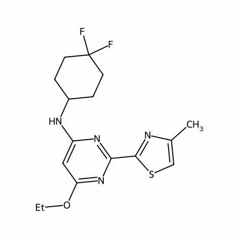 CCOc1cc(NC2CCC(F)(F)CC2)nc(-c2nc(C)cs2)n1